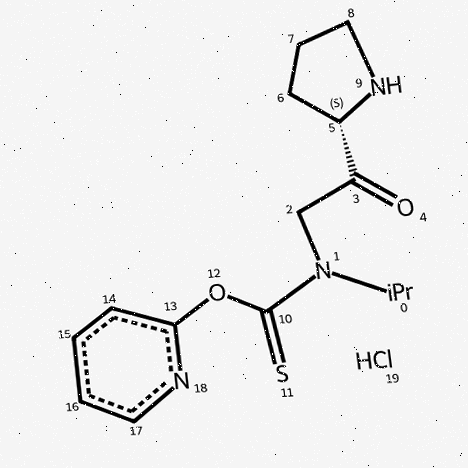 CC(C)N(CC(=O)[C@@H]1CCCN1)C(=S)Oc1ccccn1.Cl